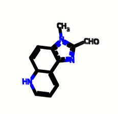 Cn1c(C=O)nc2c1C=CC1NC=CC=C21